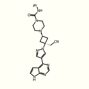 CC(C)NC(=O)N1CCN([C@H]2C[C@@](CC#N)(n3cc(-c4ncnc5[nH]ccc45)cn3)C2)CC1